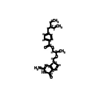 CCN(CC)Cc1ccc(C(=O)OCC(C)OCn2cnc3c(=O)[nH]c(N)nc32)cc1